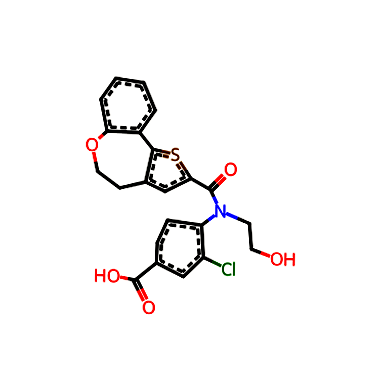 O=C(O)c1ccc(N(CCO)C(=O)c2cc3c(s2)-c2ccccc2OCC3)c(Cl)c1